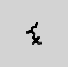 CCCC(=O)OCS(=O)(=O)O